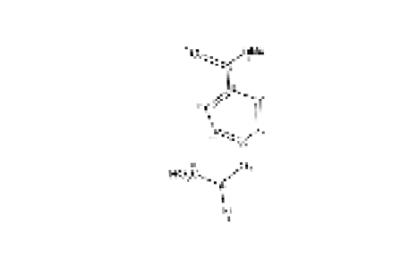 CCCCC(=O)c1ccc(OC(CC)C(=O)O)cc1